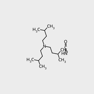 CC(C)CCN(CCC(C)C)CCC(C)C.N=C=O